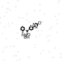 O=C(NO)[C@H]1[C@H](c2ccc(-c3ncc(Cl)cn3)nc2)[C@H]1c1ccccc1F